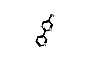 CC(C)c1cnc(-c2cccnc2)nc1